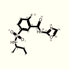 CC[C@@H](C)NS(=O)(=O)c1ccc(F)c(C(=O)Nc2ncco2)c1